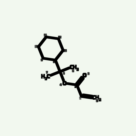 C=CC(=O)OC(C)(C)C1CCCCC1